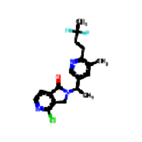 Cc1cc(C(C)N2Cc3c(ccnc3Cl)C2=O)cnc1CCC(C)(F)F